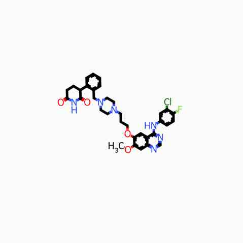 COc1cc2ncnc(Nc3ccc(F)c(Cl)c3)c2cc1OCCCN1CCN(Cc2ccccc2C2CCC(=O)NC2=O)CC1